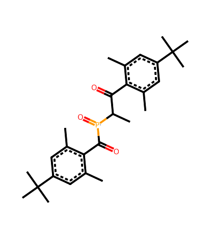 Cc1cc(C(C)(C)C)cc(C)c1C(=O)C(C)[P](=O)C(=O)c1c(C)cc(C(C)(C)C)cc1C